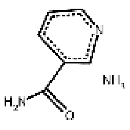 N.NC(=O)c1cccnc1